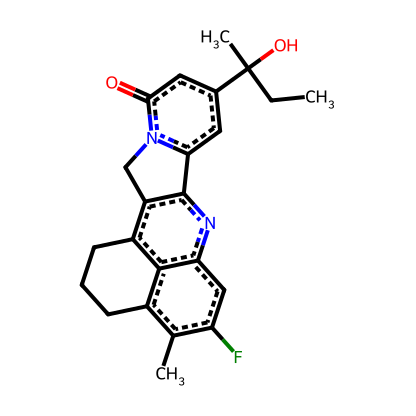 CCC(C)(O)c1cc2n(c(=O)c1)Cc1c-2nc2cc(F)c(C)c3c2c1CCC3